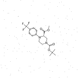 COC(=O)[C@H]1CN(C(=O)OC(C)(C)C)CCN1c1ccc(C(F)(F)F)cc1